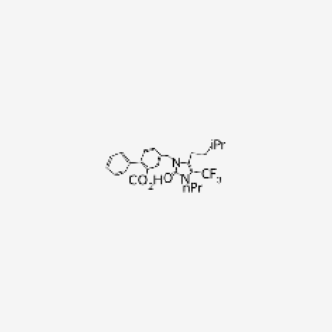 CCCn1c(C(F)(F)F)c(CCC(C)C)n(Cc2ccc(-c3ccccc3)c(C(=O)O)c2)c1=O